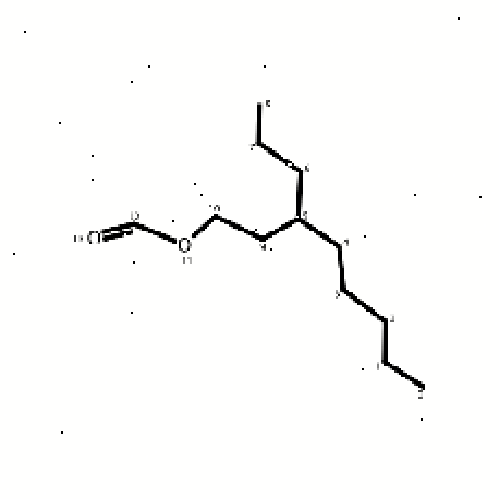 CCCCCC(CCC)CCOC=O